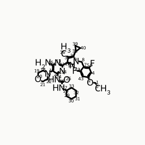 CCOc1cc(F)c(Cn2nc(-c3nc(N)c(N4CCOCC4)c(NC(=O)NC4CCCCC4)n3)c(C)c2C2CC2)c(F)c1